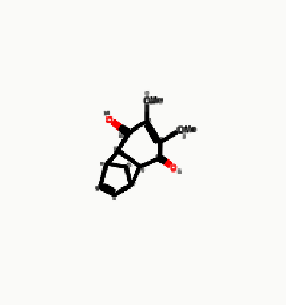 COC1=C(OC)C(=O)C2C3C=CC(C3)C2C1=O